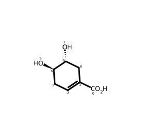 O=C(O)C1=CC[C@@H](O)[C@H](O)C1